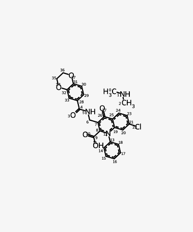 CNC.O=C(NCc1c(C(=O)O)n(-c2ccccc2)c2cc(Cl)ccc2c1=O)c1ccc2c(c1)OCCO2